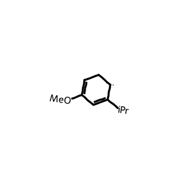 COC1=CC[CH]C(C(C)C)=C1